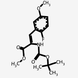 COC(=O)/C(=C/c1cc(OC)ccc1F)NC(=O)OC(C)(C)C